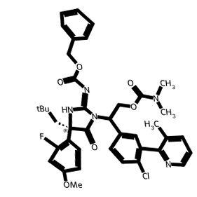 COc1ccc([C@@]2(CC(C)(C)C)NC(=NC(=O)OCc3ccccc3)N(C(COC(=O)N(C)C)c3ccc(Cl)c(-c4ncccc4C)c3)C2=O)c(F)c1